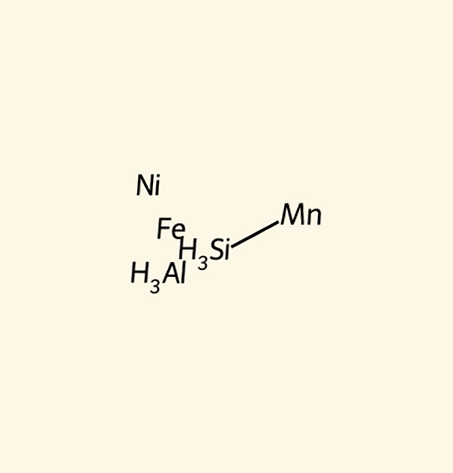 [AlH3].[Fe].[Ni].[SiH3][Mn]